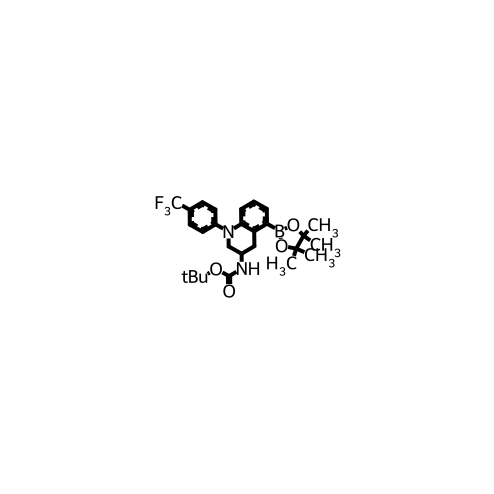 CC(C)(C)OC(=O)NC1Cc2c(B3OC(C)(C)C(C)(C)O3)cccc2N(c2ccc(C(F)(F)F)cc2)C1